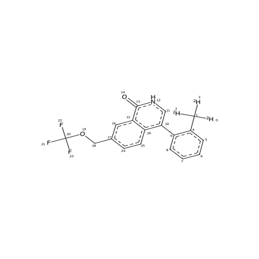 [2H]C([2H])([2H])c1ccccc1-c1c[nH]c(=O)c2cc(COC(F)(F)F)ccc12